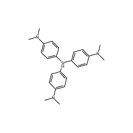 CN(C)c1ccc([SiH](c2ccc(N(C)C)cc2)c2ccc(N(C)C)cc2)cc1